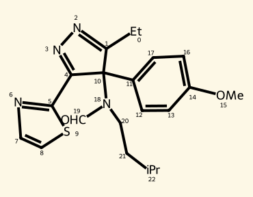 CCC1=NN=C(c2nccs2)C1(c1ccc(OC)cc1)N(C=O)CCC(C)C